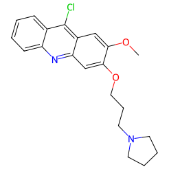 COc1cc2c(Cl)c3ccccc3nc2cc1OCCCN1CCCC1